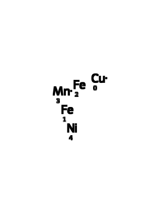 [Cu].[Fe].[Fe].[Mn].[Ni]